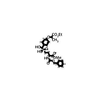 CCOC(=O)C(C)Oc1ccc(C(O)P(=O)(O)CCC(NC(=O)OCc2ccccc2)C(=O)OC)cc1